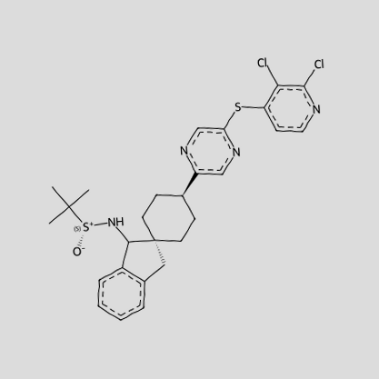 CC(C)(C)[S@@+]([O-])NC1c2ccccc2C[C@]12CC[C@H](c1cnc(Sc3ccnc(Cl)c3Cl)cn1)CC2